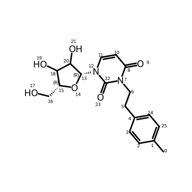 Cc1ccc(CCn2c(=O)ccn([C@@H]3O[C@H](CO)C(O)C3O)c2=O)cc1